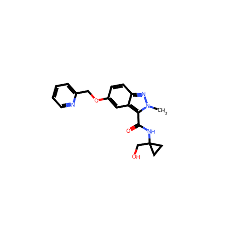 Cn1nc2ccc(OCc3ccccn3)cc2c1C(=O)NC1(CO)CC1